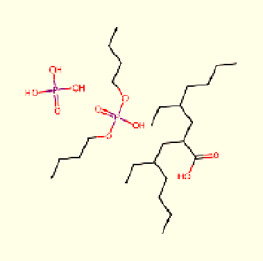 CCCCC(CC)CC(CC(CC)CCCC)C(=O)O.CCCCOP(=O)(O)OCCCC.O=P(O)(O)O